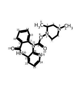 CC1CN(C)CCN1OC(=O)N1c2ccccc2C(=O)Nc2cccnc21